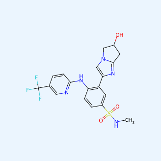 CNS(=O)(=O)c1ccc(Nc2ccc(C(F)(F)F)cn2)c(-c2cn3c(n2)CC(O)C3)c1